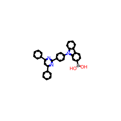 OB(O)c1ccc2c3ccccc3n(-c3ccc(-c4nc(-c5ccccc5)cc(-c5ccccc5)n4)cc3)c2c1